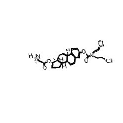 C[C@H](N)C(=O)O[C@H]1CC[C@H]2[C@@H]3CCc4cc(OC(=O)N(CCCl)CCCl)ccc4[C@H]3CC[C@]12C